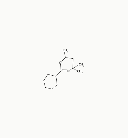 CC1CC(C)(C)N=C(C2CCCCC2)O1